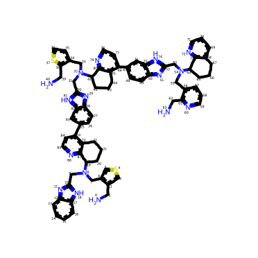 NCc1cscc1CN(Cc1nc2ccccc2[nH]1)C1CCCc2c(-c3ccc4nc(CN(Cc5ccsc5CN)C5CCCc6c(-c7ccc8nc(CN(Cc9cccnc9CN)C9CCCc%10cccnc%109)[nH]c8c7)ccnc65)[nH]c4c3)ccnc21